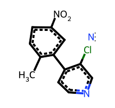 Cc1ccc([N+](=O)[O-])cc1-c1ccncc1Cl.[N]